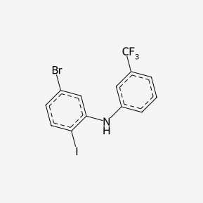 FC(F)(F)c1cccc(Nc2cc(Br)ccc2I)c1